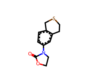 O=C1OCCN1c1ccc2c(c1)CCSC2